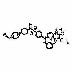 C[C@@H]1C(=O)N(C)c2ccc(Nc3ccc(S(=O)(=O)NC4CCC(N5CCN(CC6CC6)CC5)CC4)cc3)nc2N1Cc1ccccc1